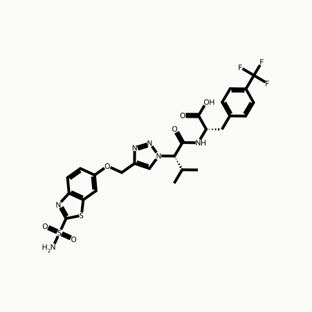 CC(C)[C@@H](C(=O)N[C@@H](Cc1ccc(C(F)(F)F)cc1)C(=O)O)n1cc(COc2ccc3nc(S(N)(=O)=O)sc3c2)nn1